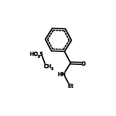 CCNC(=O)c1ccccc1.CS(=O)(=O)O